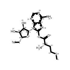 [3H]C[C@H]1O[C@@H](n2c(OC(=O)[C@@H](N)CCSC)nc3c(N)ncnc32)[C@H](O)[C@@H]1O